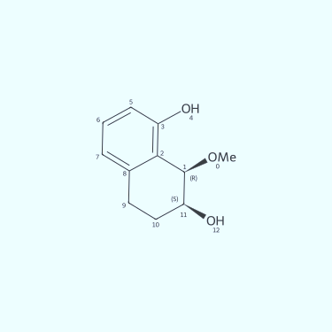 CO[C@@H]1c2c(O)cccc2CC[C@@H]1O